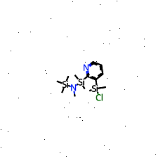 CN([Si](C)(C)C)[Si](C)(C)c1ncccc1[Si](C)(C)Cl